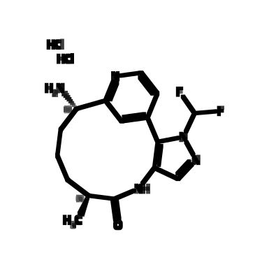 C[C@H]1CCC[C@H](N)c2cc(ccn2)-c2c(cnn2C(F)F)NC1=O.Cl.Cl